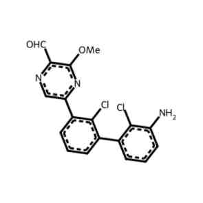 COc1nc(-c2cccc(-c3cccc(N)c3Cl)c2Cl)cnc1C=O